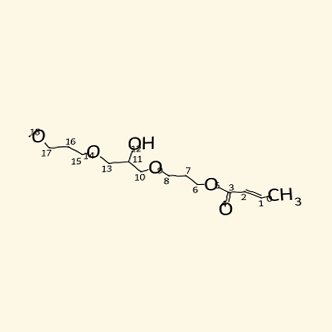 CC=CC(=O)OCCCOCC(O)COCCC[O]